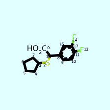 O=C(O)C(SC1CCCC1)c1ccc(F)c(F)c1